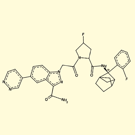 NC(=O)c1nn(CC(=O)N2CC(F)CC2C(=O)N[C@@]2(c3ccccc3F)C3CC24CCC3C4)c2ccc(-c3ccnnc3)cc12